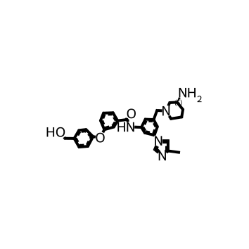 Cc1cn(-c2cc(CN3CCC[C@H](N)C3)cc(NC(=O)c3cccc(Oc4ccc(CO)cc4)c3)c2)cn1